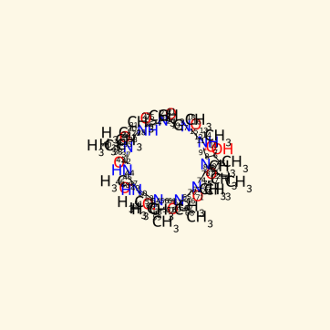 C/C=C/C[C@@H](C)[C@@H](O)[C@H]1C(=O)N[C@@H](CC)C(=O)N(C)CC(=O)N(C)[C@H](C)C(=O)N[C@@H](C(C)C)C(=O)N(C)[C@@H](CC(C)C)C(=O)N[C@@H](C)C(=O)N[C@H](C)C(=O)N(C)[C@@H](CC(C)C)C(=O)N(C)[C@@H](CC(C)C)C(=O)N(C)[C@@H](C(C)C)C(=O)N1C